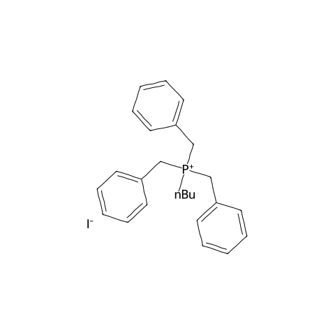 CCCC[P+](Cc1ccccc1)(Cc1ccccc1)Cc1ccccc1.[I-]